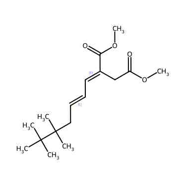 COC(=O)C/C(=C\C=C\CC(C)(C)C(C)(C)C)C(=O)OC